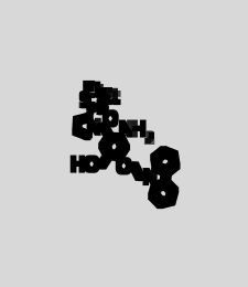 CCSC(SCC)[C@@H]1CCCN1C(=O)c1cc(CO)c(OCCn2c3ccccc3c3ccccc32)cc1N